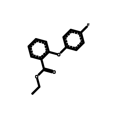 CCOC(=O)c1ccccc1Oc1ccc(F)cc1